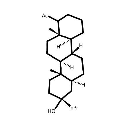 CCC[C@@]1(O)CC[C@@]2(C)[C@@H](CC[C@@H]3[C@@H]2CC[C@]2(C)C(C(C)=O)CCC[C@@H]32)C1